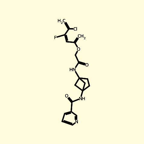 C=C(/C=C(/F)C(=C)Cl)OCC(=O)NC12CCC(NC(=O)c3cccnc3)(C1)C2